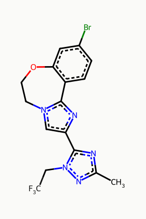 Cc1nc(-c2cn3c(n2)-c2ccc(Br)cc2OCC3)n(CC(F)(F)F)n1